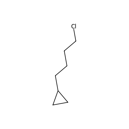 ClCCCCC1CC1